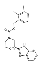 Cc1cccc(COC(=O)N2CCO[C@H](c3nc4cccnc4[nH]3)C2)c1C